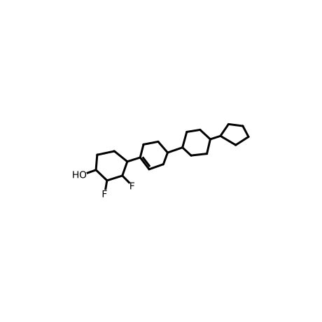 OC1CCC(C2=CCC(C3CCC(C4CCCC4)CC3)CC2)C(F)C1F